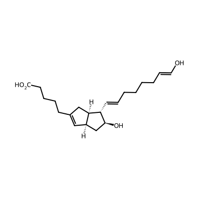 O=C(O)CCCCC1=C[C@@H]2C[C@H](O)[C@@H](C=CCCCCC=CO)[C@@H]2C1